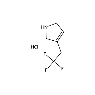 Cl.FC(F)(F)CC1=CCNC1